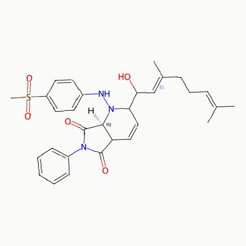 CC(C)=CCC/C(C)=C/C(O)C1C=CC2C(=O)N(c3ccccc3)C(=O)[C@H]2N1Nc1ccc(S(C)(=O)=O)cc1